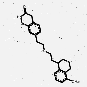 COc1cccc2c1CCCC2CCNCCc1ccc2c(c1)SNC(=O)C2